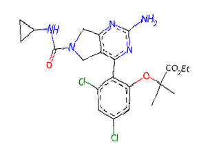 CCOC(=O)C(C)(C)Oc1cc(Cl)cc(Cl)c1-c1nc(N)nc2c1CN(C(=O)NC1CC1)C2